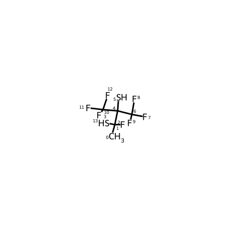 CC(F)(S)C(S)(C(F)(F)F)C(F)(F)F